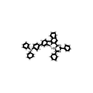 c1ccc(C2=NC(c3cc4ccccc4c4c3sc3cc(-c5ccc(N(c6ccccc6)c6ccccc6)cc5)ccc34)NC(c3ccccc3)=N2)cc1